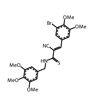 COc1cc(/C=C(\C#N)C(=S)NCc2cc(OC)c(OC)c(OC)c2)cc(Br)c1OC